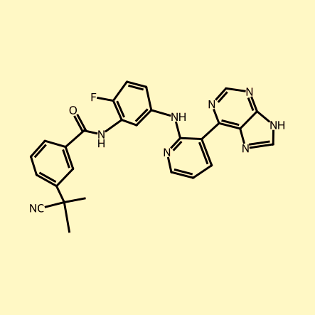 CC(C)(C#N)c1cccc(C(=O)Nc2cc(Nc3ncccc3-c3ncnc4[nH]cnc34)ccc2F)c1